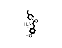 CCC1CCN(C(=O)[C@@H](N)Cc2ccc(O)cc2)CC1